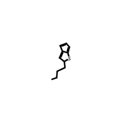 CCCC[C]1C=C2C=CC=C2S1